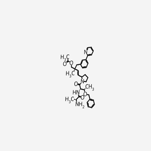 CC(=O)OC[C@@](C)(/C=C/C1CCCN1C(=O)[C@@H](NC(=O)[C@H](C)N)[C@@H](C)OCc1ccccc1)Cc1cccc(-c2ccccn2)c1